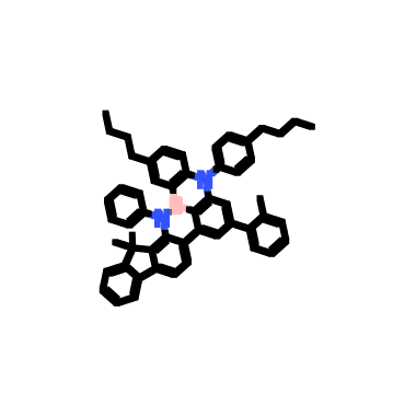 CCCCc1ccc(N2c3ccc(CCCC)cc3B3c4c(cc(-c5ccccc5C)cc42)-c2ccc4c(c2N3c2ccccc2)C(C)(C)c2ccccc2-4)cc1